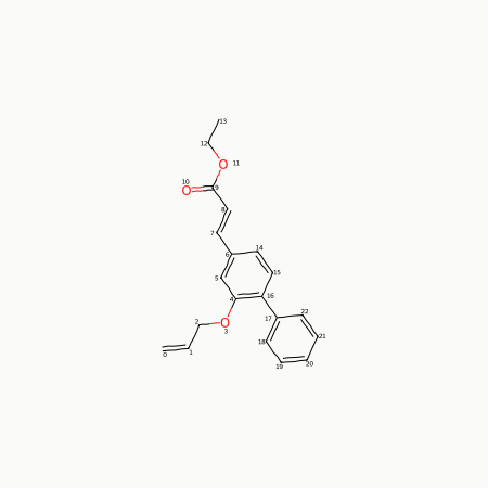 C=CCOc1cc(/C=C/C(=O)OCC)ccc1-c1ccccc1